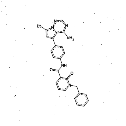 CCc1cc(-c2ccc(NC(=O)c3cccn(Cc4ccccc4)c3=O)cc2)c2c(N)ncnn12